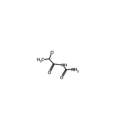 CC(Cl)C(=O)NC(N)=O